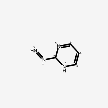 N=NC1N=CC=CN1